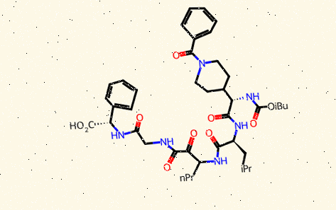 CCCC(NC(=O)[C@H](CC(C)C)NC(=O)[C@@H](NC(=O)OCC(C)C)C1CCN(C(=O)c2ccccc2)CC1)C(=O)C(=O)NCC(=O)N[C@H](C(=O)O)c1ccccc1